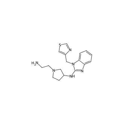 NCCN1CCC(Nc2nc3ccccc3n2Cc2cscn2)C1